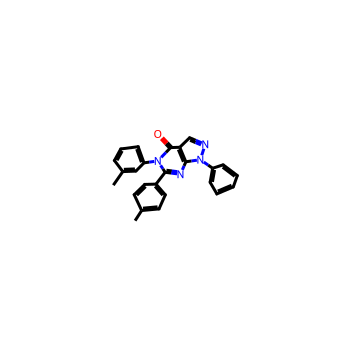 Cc1ccc(-c2nc3c(cnn3-c3ccccc3)c(=O)n2-c2cccc(C)c2)cc1